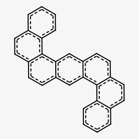 c1ccc2c(c1)ccc1ccc3cc4c(ccc5ccc6ccccc6c54)cc3c12